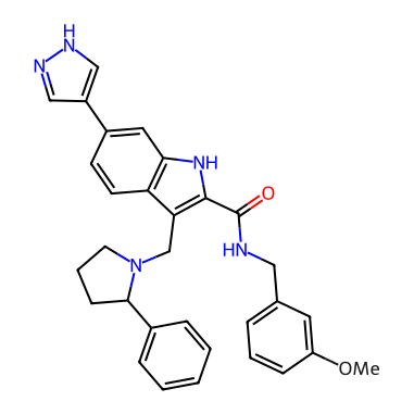 COc1cccc(CNC(=O)c2[nH]c3cc(-c4cn[nH]c4)ccc3c2CN2CCCC2c2ccccc2)c1